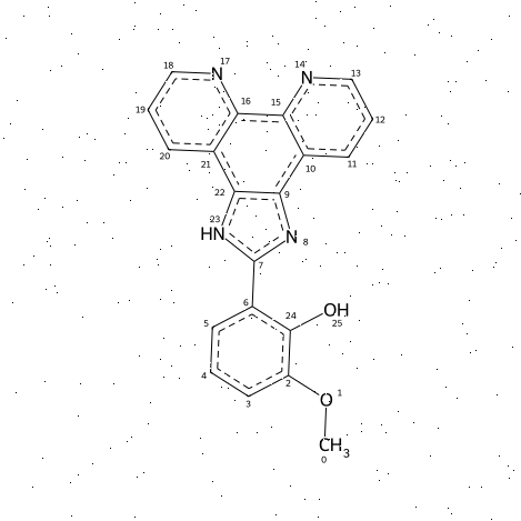 COc1cccc(-c2nc3c4cccnc4c4ncccc4c3[nH]2)c1O